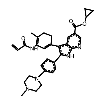 C=CC(=O)NC1=C(C)CCC(c2c(-c3ccc(N4CCN(C)CC4)cc3)[nH]c3ncc(C(=O)OC4CC4)cc23)=C1